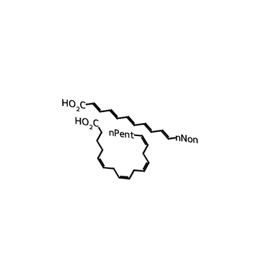 CCCCC/C=C\C/C=C\C/C=C\C/C=C\CCCC(=O)O.CCCCCCCCCC=CC=CC=CC=CC=CC(=O)O